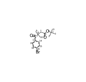 CC(C)(C)OC(=O)CC(C)(C)[S+]([O-])c1ccc(Br)cc1